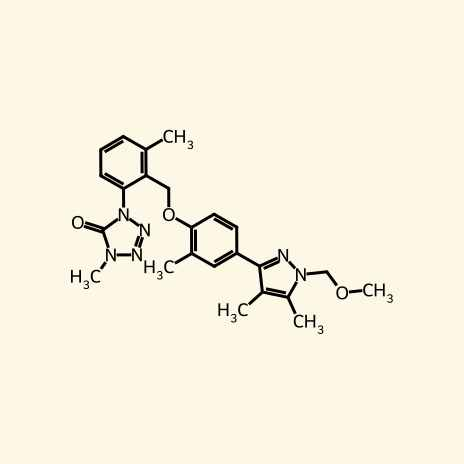 COCn1nc(-c2ccc(OCc3c(C)cccc3-n3nnn(C)c3=O)c(C)c2)c(C)c1C